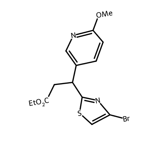 CCOC(=O)CC(c1ccc(OC)nc1)c1nc(Br)cs1